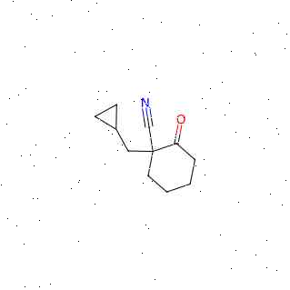 N#CC1(CC2CC2)CCCCC1=O